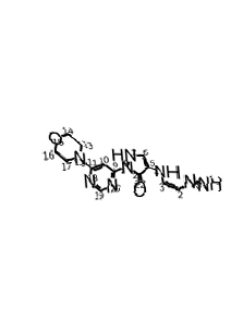 N=N/C=C\Nc1c[nH]n(-c2cc(N3CCOCC3)ncn2)c1=O